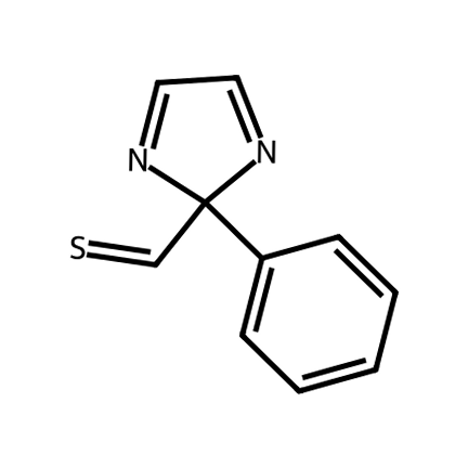 S=CC1(c2ccccc2)N=CC=N1